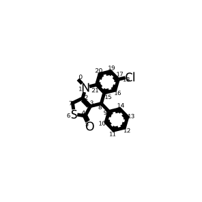 CN1C2=C(C(=O)SC2)C(c2ccccc2)c2cc(Cl)ccc21